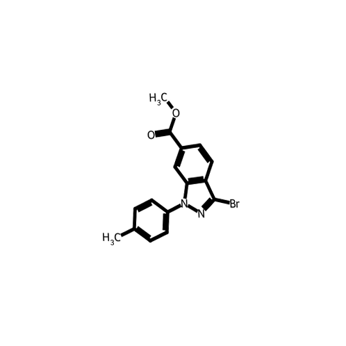 COC(=O)c1ccc2c(Br)nn(-c3ccc(C)cc3)c2c1